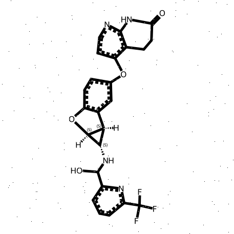 O=C1CCc2c(Oc3ccc4c(c3)[C@H]3[C@H](NC(O)c5cccc(C(F)(F)F)n5)[C@H]3O4)ccnc2N1